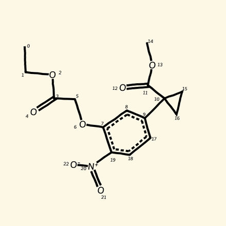 CCOC(=O)COc1cc(C2(C(=O)OC)CC2)ccc1[N+](=O)[O-]